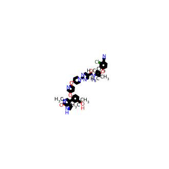 Cn1cc(-c2cc(C(C)(C)O)ccc2Oc2ccc(OC3CCN(c4ncc(C(=O)NC5C(C)(C)C(Oc6ccc(C#N)c(Cl)c6)C5(C)C)cn4)CC3)nc2)c2cc[nH]c2c1=O